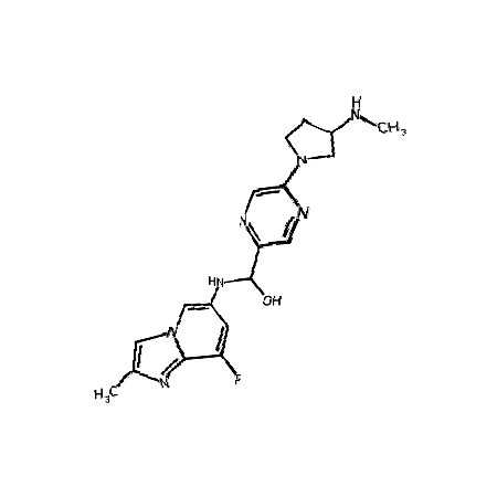 CNC1CCN(c2cnc(C(O)Nc3cc(F)c4nc(C)cn4c3)cn2)C1